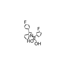 OC[C@@H](O)[C@H](c1cccc(F)c1)n1cc(-c2ccc(F)cc2)c2ccccc21